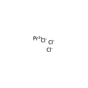 [Cl-].[Cl-].[Cl-].[Pr+3]